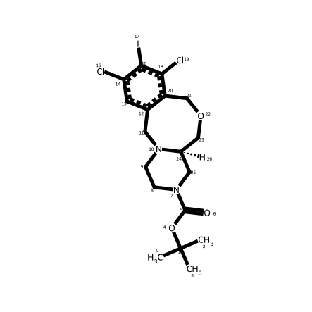 CC(C)(C)OC(=O)N1CCN2Cc3cc(Cl)c(I)c(Cl)c3COC[C@H]2C1